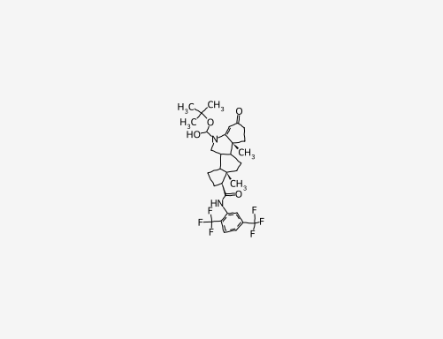 CC(C)(C)OC(O)N1CC2C(CC[C@@]3(C)C2CC[C@@H]3C(=O)Nc2cc(C(F)(F)F)ccc2C(F)(F)F)[C@@]2(C)CCC(=O)C=C12